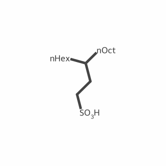 CCCCCCCCC(CCCCCC)CCS(=O)(=O)O